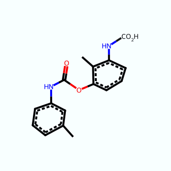 Cc1cccc(NC(=O)Oc2cccc(NC(=O)O)c2C)c1